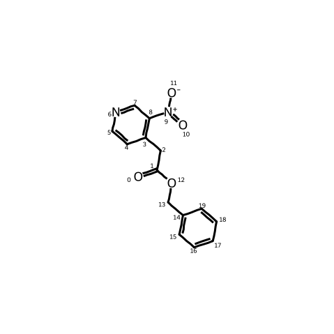 O=C(Cc1ccncc1[N+](=O)[O-])OCc1ccccc1